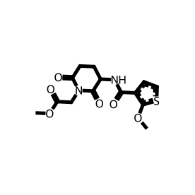 COC(=O)CN1C(=O)CCC(NC(=O)c2ccsc2OC)C1=O